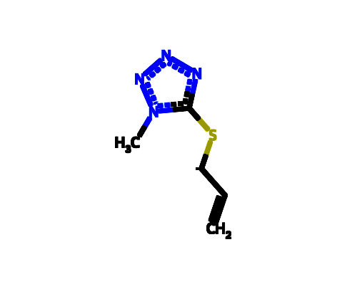 C=C[CH]Sc1nnnn1C